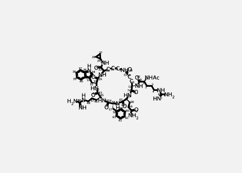 CC(=O)N[C@@H](CCCNC(=N)N)C(=O)N[C@H]1CCC(=O)NCCCC(C(=O)NC2CC2)NC(=O)[C@H](Cc2c[nH]c3ccccc23)NC(=O)[C@H](CCCNC(=N)N)NC(=O)[C@@H](Cc2ccccc2)NC(=O)[C@H](CCC(N)=O)NC1=O